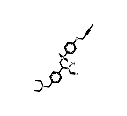 CC#CCOc1ccc(S(=O)(=O)CC(c2ccc(CN(CC)CC)cc2)N(O)C=O)cc1